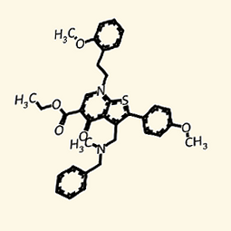 CCOC(=O)c1cn(CCc2ccccc2OC)c2sc(-c3ccc(OC)cc3)c(CN(C)Cc3ccccc3)c2c1=O